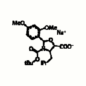 COc1ccc(C2OC(C(=O)[O-])[C@@H](CC(C)C)N2C(=O)OC(C)(C)C)c(OC)c1.[Na+]